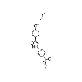 CCCCCOc1ccc(-c2cc(-c3ccc(C(=O)OCC)cc3)no2)cc1